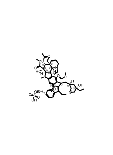 CC[C@]1(O)C[C@@H]2C[N@@](CCc3c([nH]c4ccccc34)[C@@](C(=O)OC)(c3cc4c(cc3OC)N(C)[C@H]3[C@@](O)(C(=O)OC)[C@H](OC(C)=O)[C@]5(CC)C=CCN6CC[C@]43[C@@H]65)C2)C1.O.O=S(=O)(O)O